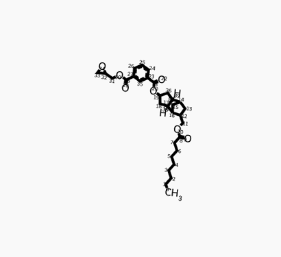 CCCCCCCCC(=O)OCC1CC2CC1[C@H]1CC(OC(=O)c3cccc(C(=O)OCC4CO4)c3)C[C@@H]21